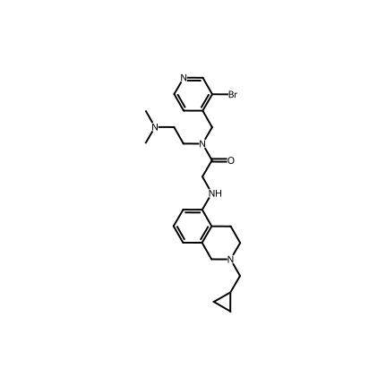 CN(C)CCN(Cc1ccncc1Br)C(=O)CNc1cccc2c1CCN(CC1CC1)C2